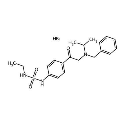 Br.CCNS(=O)(=O)Nc1ccc(C(=O)CN(Cc2ccccc2)C(C)C)cc1